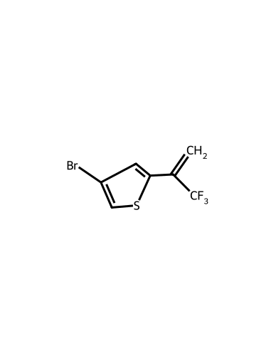 C=C(c1cc(Br)cs1)C(F)(F)F